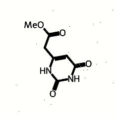 COC(=O)Cc1cc(=O)[nH]c(=O)[nH]1